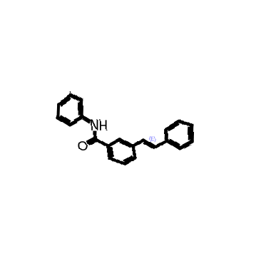 O=C(Nc1c[c]ccc1)c1cccc(/C=C/c2ccccc2)c1